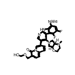 CNc1cc(F)c(F)c2c1[nH]c1ncc(-c3ccc4ccc(COCO)c(=O)n4c3)c(N3C[C@H]4OCCN(C)[C@H]4C3)c12